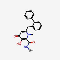 CC(C)NC(=O)c1c(O)c(=O)cc(Cc2ccccc2-c2ccccc2)n1C